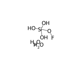 O.O.O[Si](O)(O)OF